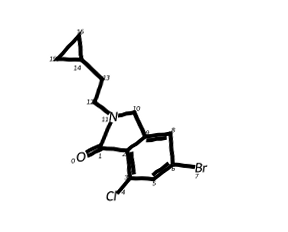 O=C1c2c(Cl)cc(Br)cc2CN1CCC1CC1